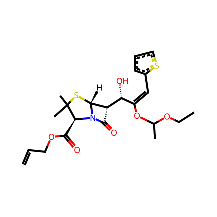 C=CCOC(=O)[C@@H]1N2C(=O)[C@@H]([C@H](O)/C(=C\c3cccs3)OC(C)OCC)[C@H]2SC1(C)C